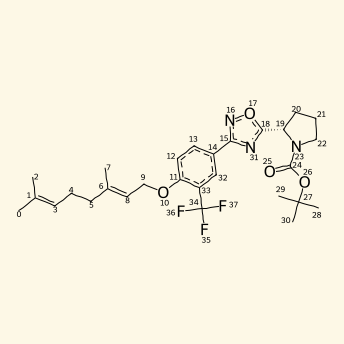 CC(C)=CCC/C(C)=C/COc1ccc(-c2noc([C@@H]3CCCN3C(=O)OC(C)(C)C)n2)cc1C(F)(F)F